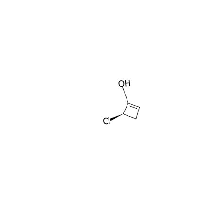 OC1=CC[C@H]1Cl